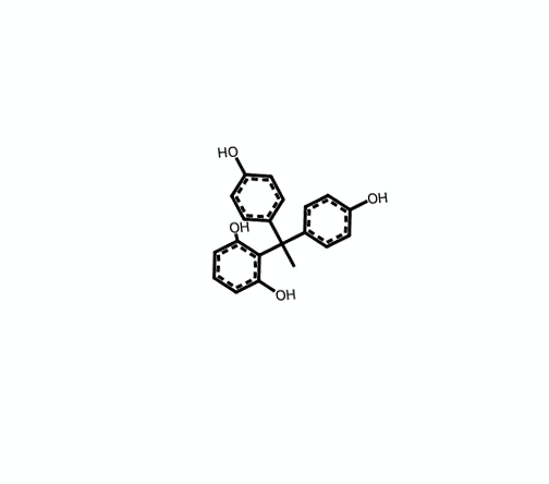 CC(c1ccc(O)cc1)(c1ccc(O)cc1)c1c(O)cccc1O